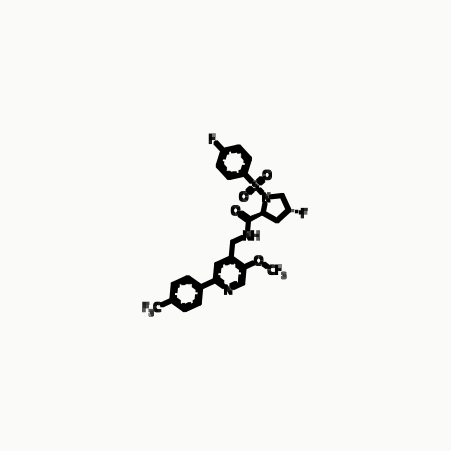 O=C(NCc1cc(-c2ccc(C(F)(F)F)cc2)ncc1OC(F)(F)F)[C@@H]1C[C@@H](F)CN1S(=O)(=O)c1ccc(F)cc1